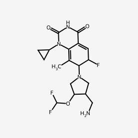 CC1=c2c(c(=O)[nH]c(=O)n2C2CC2)=CC(F)C1N1CC(CN)C(OC(F)F)C1